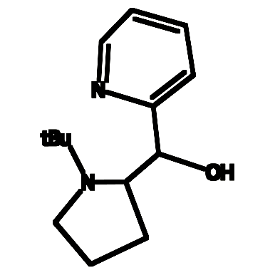 CC(C)(C)N1CCCC1C(O)c1ccccn1